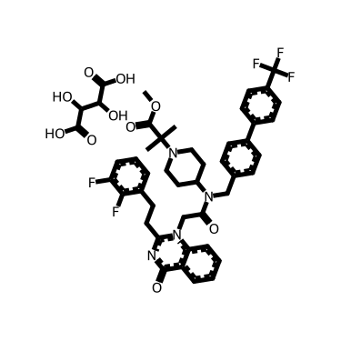 COC(=O)C(C)(C)N1CCC(N(Cc2ccc(-c3ccc(C(F)(F)F)cc3)cc2)C(=O)Cn2c(CCc3cccc(F)c3F)nc(=O)c3ccccc32)CC1.O=C(O)C(O)C(O)C(=O)O